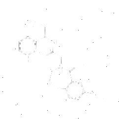 CCOC(=O)CC(NC(=O)CN1CCOc2ccc([N+](=O)[O-])cc2C1=O)c1cccnc1